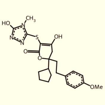 COc1ccc(CCC2(C3CCCC3)CC(O)=C(Sc3nnc(O)n3C)C(=O)O2)cc1